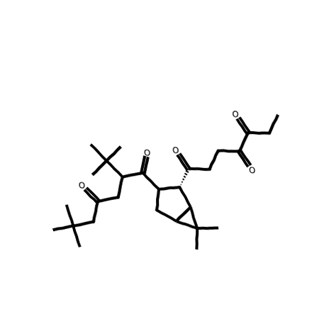 CCC(=O)C(=O)CCC(=O)[C@H]1C(C(=O)C(CC(=O)CC(C)(C)C)C(C)(C)C)CC2C1C2(C)C